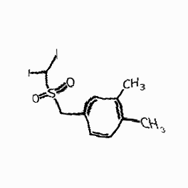 Cc1ccc(CS(=O)(=O)C(I)I)cc1C